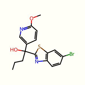 CCCC(O)(c1ccc(OC)nc1)c1nc2ccc(Br)cc2s1